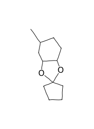 CC1CCC2OC3(CCCC3)OC2C1